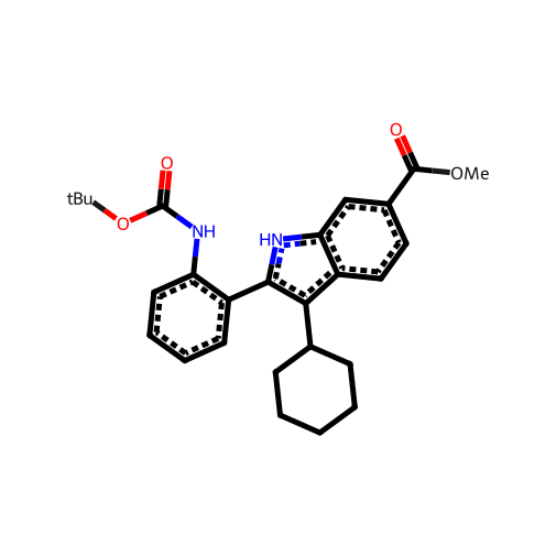 COC(=O)c1ccc2c(C3CCCCC3)c(-c3ccccc3NC(=O)OC(C)(C)C)[nH]c2c1